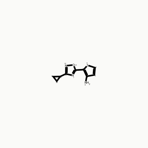 Nc1ccsc1-c1nc(C2CC2)no1